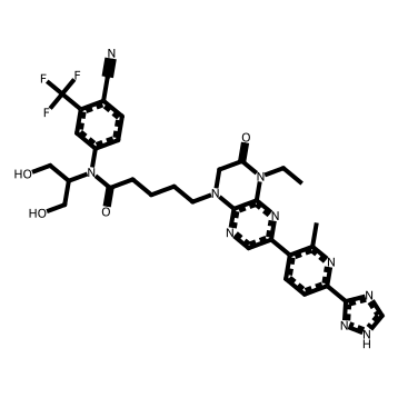 CCN1C(=O)CN(CCCCC(=O)N(c2ccc(C#N)c(C(F)(F)F)c2)C(CO)CO)c2ncc(-c3ccc(-c4nc[nH]n4)nc3C)nc21